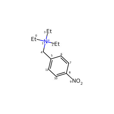 CC[N+](CC)(CC)Cc1ccc([N+](=O)[O-])cc1